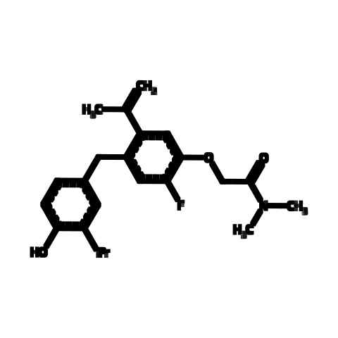 C=C(C)c1cc(OCC(=O)N(C)C)c(F)cc1Cc1ccc(O)c(C(C)C)c1